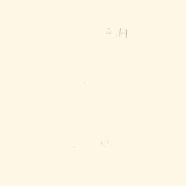 [AsH2]CC1CCOC1